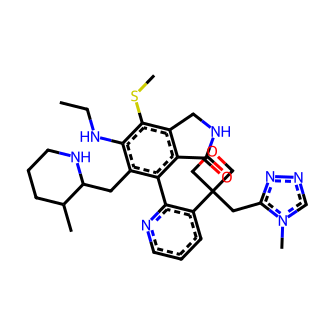 CCNc1c(CC2NCCCC2C)c(-c2ncccc2C2(Cc3nncn3C)COC2)c2c(c1SC)CNC2=O